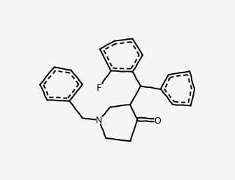 O=C1CCN(Cc2ccccc2)CC1C(c1ccccc1)c1ccccc1F